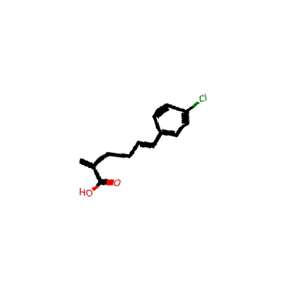 C=C(CCC=Cc1ccc(Cl)cc1)C(=O)O